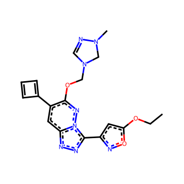 CCOc1cc(-c2nnc3cc(C4=CC=C4)c(OCN4C=NN(C)C4)nn23)no1